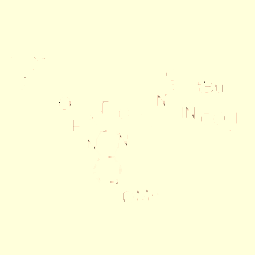 COc1ccc2nc(C(F)(F)COCC[C@@H]3CCCC3C)c(OC3CN(C(=O)[C@@H](NC(=O)O)C(C)(C)C)C[C@@H]3C)nc2c1